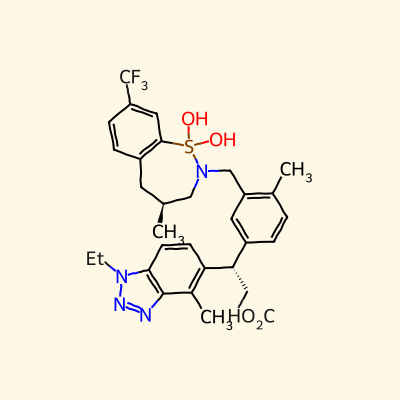 CCn1nnc2c(C)c([C@@H](CC(=O)O)c3ccc(C)c(CN4C[C@@H](C)Cc5ccc(C(F)(F)F)cc5S4(O)O)c3)ccc21